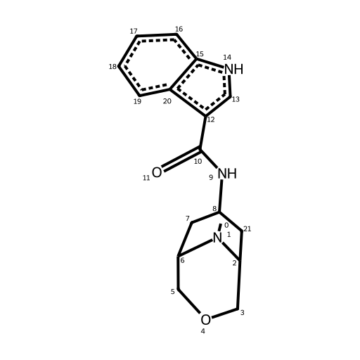 CN1C2COCC1CC(NC(=O)c1c[nH]c3ccccc13)C2